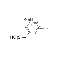 O=S(=O)(O)Cc1cccc(I)c1.[NaH]